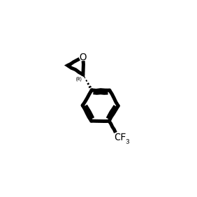 FC(F)(F)c1ccc([C@@H]2CO2)cc1